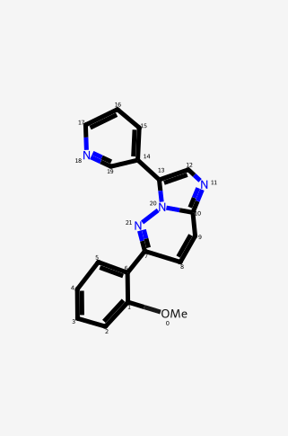 COc1ccccc1-c1ccc2ncc(-c3cccnc3)n2n1